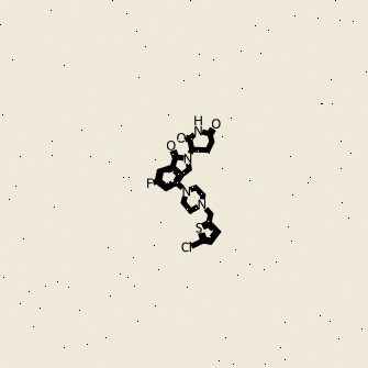 O=C1CCC(N2Cc3c(cc(F)cc3N3CCN(Cc4ccc(Cl)s4)CC3)C2=O)C(=O)N1